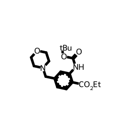 CCOC(=O)c1ccc(CN2CCOCC2)cc1NC(=O)OC(C)(C)C